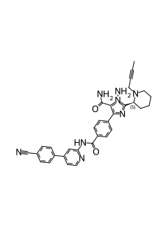 CC#CCN1CCCC[C@H]1c1nc(-c2ccc(C(=O)Nc3cc(-c4ccc(C#N)cc4)ccn3)cc2)c(C(N)=O)n1N